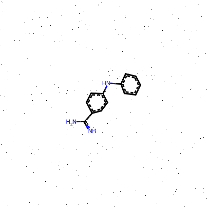 N=C(N)c1ccc(Nc2ccccc2)cc1